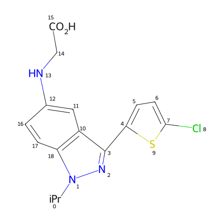 CC(C)n1nc(-c2ccc(Cl)s2)c2cc(NCC(=O)O)ccc21